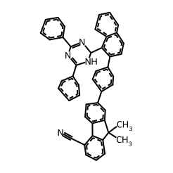 CC1(C)c2cc(-c3ccc(-c4ccc5ccccc5c4C4N=C(c5ccccc5)N=C(c5ccccc5)N4)cc3)ccc2-c2c(C#N)cccc21